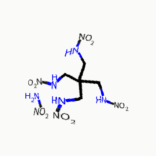 N[N+](=O)[O-].O=[N+]([O-])NCC(CN[N+](=O)[O-])(CN[N+](=O)[O-])CN[N+](=O)[O-]